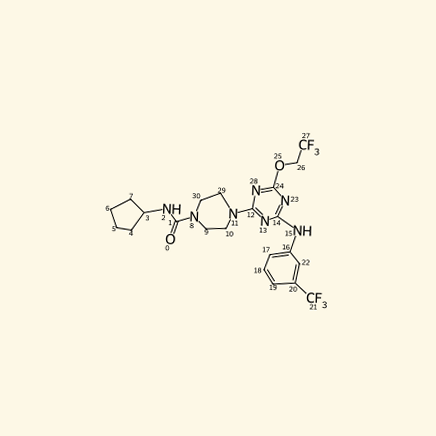 O=C(NC1CCCC1)N1CCN(c2nc(Nc3cccc(C(F)(F)F)c3)nc(OCC(F)(F)F)n2)CC1